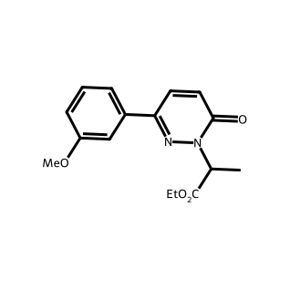 CCOC(=O)C(C)n1nc(-c2cccc(OC)c2)ccc1=O